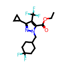 CCOC(=O)c1c(C(F)(F)F)c(C2CC2)nn1CC1CCC(F)(F)CC1